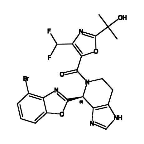 CC(C)(O)c1nc(C(F)F)c(C(=O)N2CCc3[nH]cnc3[C@H]2c2nc3c(Br)cccc3o2)o1